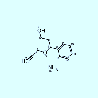 C#CCOC(CCO)c1ccccc1.N